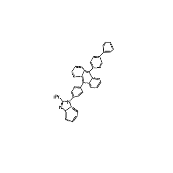 CC(C)c1nc2ccccc2n1-c1ccc(-c2c3ccccc3c(-c3ccc(-c4ccccc4)cc3)c3ccccc23)cc1